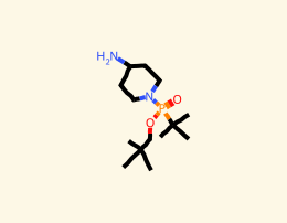 CC(C)(C)COP(=O)(N1CCC(N)CC1)C(C)(C)C